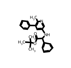 Cc1ncc(NC(C(=O)OC(C)(C)C)c2ccccc2)cc1-c1ccccc1